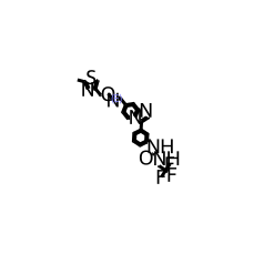 Cc1nc(CO/N=C/c2ccn3c(-c4cccc(NC(=O)NCC(F)(F)F)c4)cnc3c2)cs1